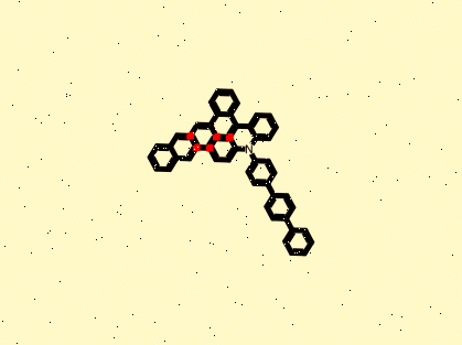 c1ccc(-c2ccc(-c3ccc(N(c4ccc(-c5ccc6ccccc6c5)cc4)c4ccccc4-c4cc5ccccc5c5ccccc45)cc3)cc2)cc1